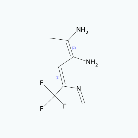 C=N/C(=C\C(N)=C(/C)N)C(F)(F)F